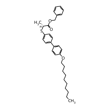 CCCCCCCCCCOc1ccc(-c2ccc(S[C@H](C)C(=O)OCc3ccccc3)cc2)cc1